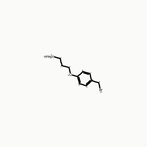 CCCCCCCCCCOc1ccc(CBr)cc1